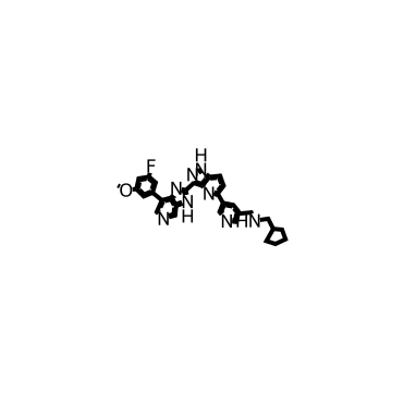 COc1cc(F)cc(-c2cncc3[nH]c(-c4n[nH]c5ccc(-c6cncc(CNCC7CCCC7)c6)nc45)nc23)c1